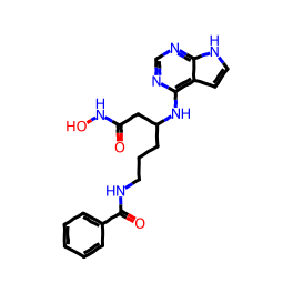 O=C(CC(CCCNC(=O)c1ccccc1)Nc1ncnc2[nH]ccc12)NO